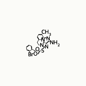 Cc1ccc(CCn2c(SC3=COC(c4ccccc4Br)O3)nc3c(N)ncnc32)cc1